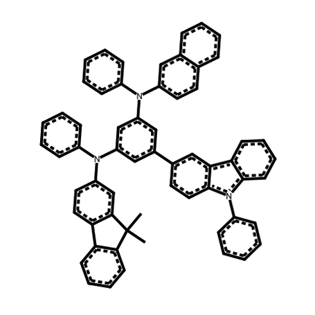 CC1(C)c2ccccc2-c2ccc(N(c3ccccc3)c3cc(-c4ccc5c(c4)c4ccccc4n5-c4ccccc4)cc(N(c4ccccc4)c4ccc5ccccc5c4)c3)cc21